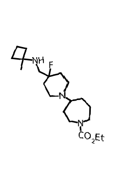 CCOC(=O)N1CCCC(N2CCC(F)(CNC3(C)CCC3)CC2)CC1